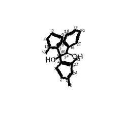 Cc1ccc(C(O)(c2ccccc2C)[C@H](O)c2ccccc2)c(C)c1